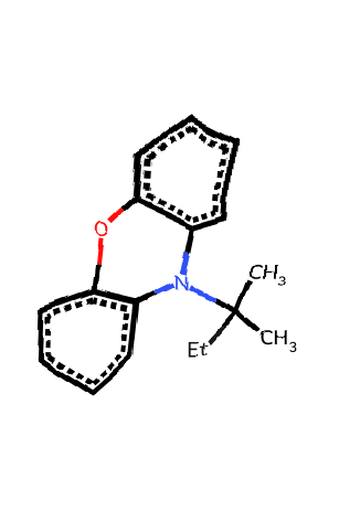 CCC(C)(C)N1c2ccccc2Oc2ccccc21